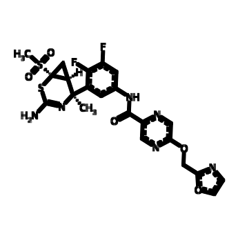 C[C@]1(c2cc(NC(=O)c3cnc(OCc4ncco4)cn3)cc(F)c2F)N=C(N)S[C@@]2(S(C)(=O)=O)C[C@H]21